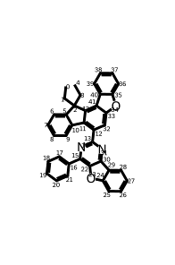 CCC1(CC)c2ccccc2-c2c(-c3nc(-c4ccccc4)c4oc5ccccc5c4n3)cc3oc4ccccc4c3c21